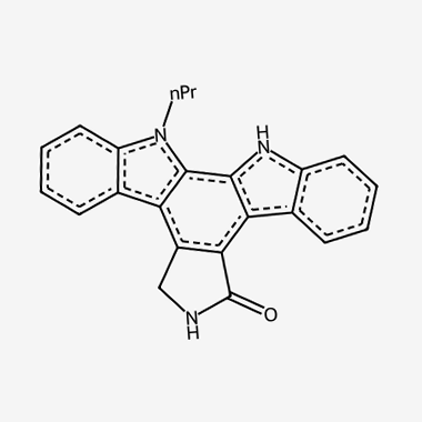 CCCn1c2ccccc2c2c3c(c4c5ccccc5[nH]c4c21)C(=O)NC3